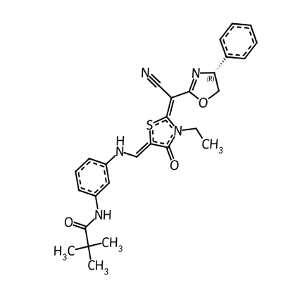 CCn1c(=C(C#N)C2=N[C@H](c3ccccc3)CO2)sc(=CNc2cccc(NC(=O)C(C)(C)C)c2)c1=O